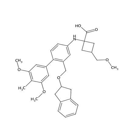 COCC1CC(Nc2ccc(-c3cc(OC)c(C)c(OC)c3)c(COC3Cc4ccccc4C3)c2)(C(=O)O)C1